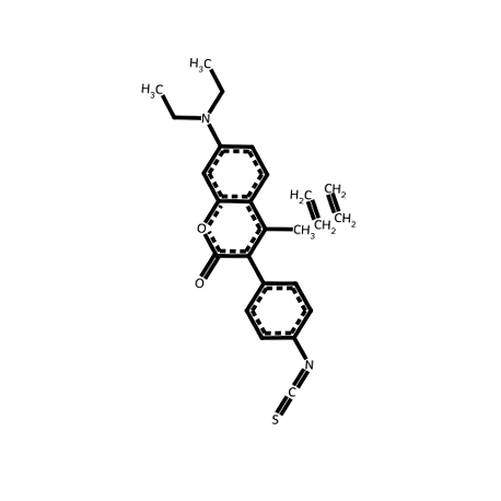 C=C.C=C.CCN(CC)c1ccc2c(C)c(-c3ccc(N=C=S)cc3)c(=O)oc2c1